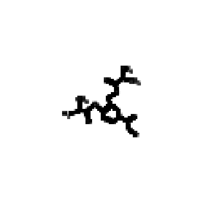 CC(C)C(=O)OCc1cc(C(=O)CBr)ccc1OC(=O)C(C)C